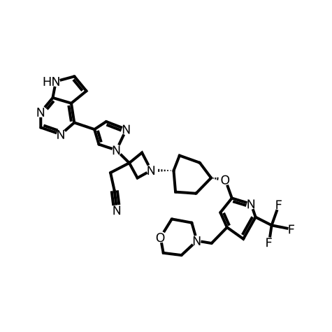 N#CCC1(n2cc(-c3ncnc4[nH]ccc34)cn2)CN([C@H]2CC[C@@H](Oc3cc(CN4CCOCC4)cc(C(F)(F)F)n3)CC2)C1